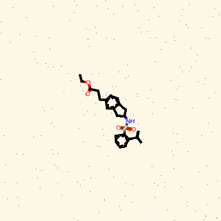 CCOC(=O)CCc1ccc2c(c1)CC(NS(=O)(=O)c1ccccc1C(C)C)C2